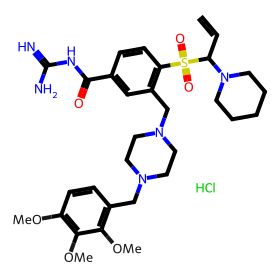 C=CC(N1CCCCC1)S(=O)(=O)c1ccc(C(=O)NC(=N)N)cc1CN1CCN(Cc2ccc(OC)c(OC)c2OC)CC1.Cl